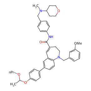 CCCOC(C)Oc1ccc(-c2ccc3c(c2)C=C(C(=O)Nc2ccc(CN(C)C4CCOCC4)cc2)CCN3Cc2cccc(OC)c2)cc1